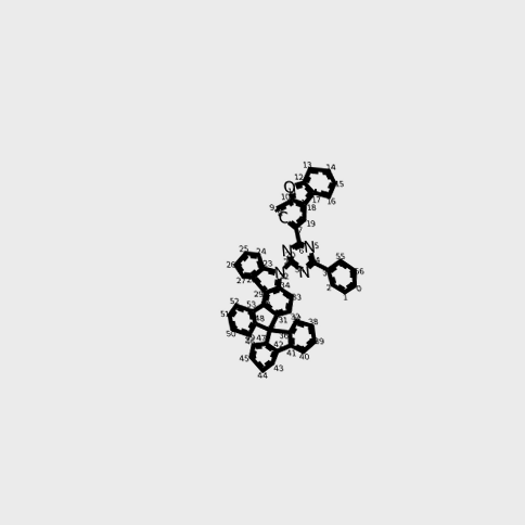 c1ccc(-c2nc(-c3ccc4oc5ccccc5c4c3)nc(-n3c4ccccc4c4c5c(ccc43)C3(c4ccccc4-c4ccccc43)c3ccccc3-5)n2)cc1